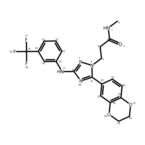 CNC(=O)CCn1nc(Nc2cccc(C(F)(F)F)c2)nc1-c1ccc2c(c1)OCCO2